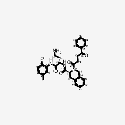 Cc1ccc(F)c(NC(=O)[C@H](CCN)NC(=O)[C@@H]2Cc3ccccc3CN2C(=O)CCC(=O)c2ccccc2)c1